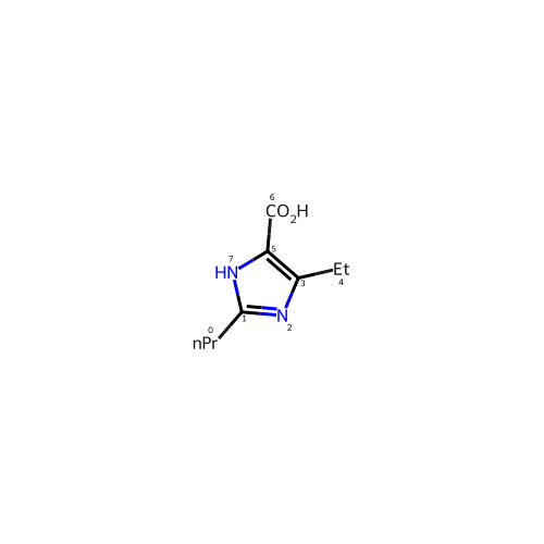 CCCc1nc(CC)c(C(=O)O)[nH]1